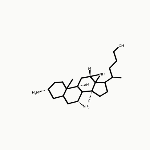 C[C@H](CCCO)C1CC[C@H]2C3[C@H](N)CC4C[C@H](N)CCC4(C)[C@H]3C[C@@H]3NC132